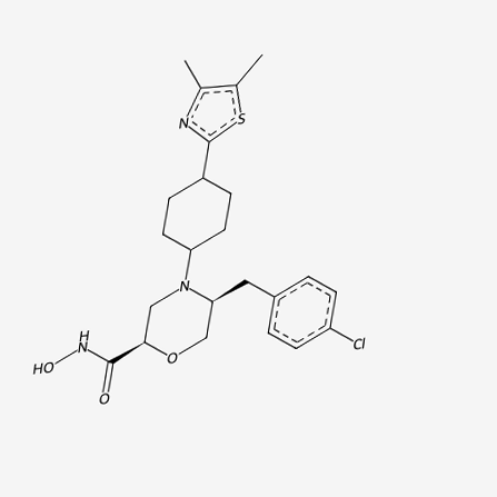 Cc1nc(C2CCC(N3C[C@H](C(=O)NO)OC[C@@H]3Cc3ccc(Cl)cc3)CC2)sc1C